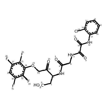 O=C(O)CC(NC(=O)CNC(=O)C(=O)Nc1ccccc1Cl)C(=O)COc1c(F)c(F)cc(F)c1F